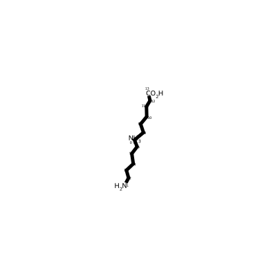 N.NCCCCCCCCCCCC(=O)O